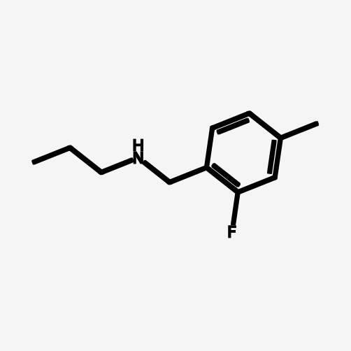 CCCNCc1ccc(C)cc1F